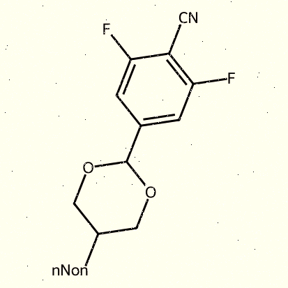 CCCCCCCCCC1COC(c2cc(F)c(C#N)c(F)c2)OC1